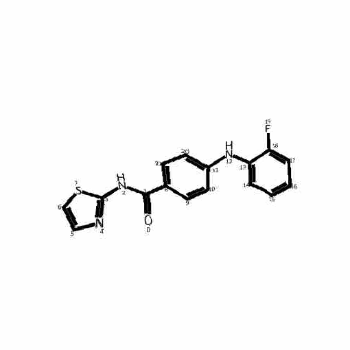 O=C(Nc1nccs1)c1ccc(Nc2ccccc2F)cc1